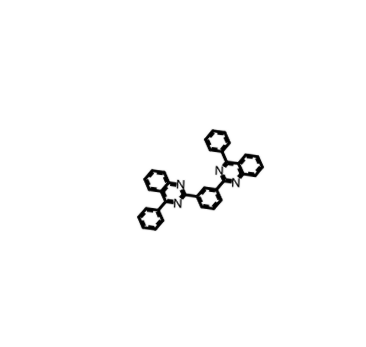 c1ccc(-c2nc(-c3cccc(-c4nc(-c5ccccc5)c5ccccc5n4)c3)nc3ccccc23)cc1